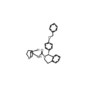 O=C(N[C@@H]1CN2CCC1CC2)N1CCc2ccccc2[C@@H]1c1ccc(OCc2ccccc2)cc1